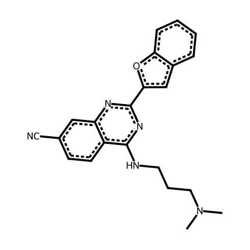 CN(C)CCCNc1nc(-c2cc3ccccc3o2)nc2cc(C#N)ccc12